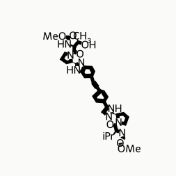 COO/C=N\[C@H](C(=O)N1CCC[C@H]1c1ncc(-c2ccc(C#Cc3ccc4nc([C@@H]5CCCN5C(=O)[C@@H](NC(=O)OC)[C@H](C)O)[nH]c4c3)cc2)[nH]1)C(C)C